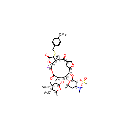 COc1ccc(CSC2C(=O)O[C@@]3(C)[C@H]2[C@@H](C)C(=O)[C@@H]2CO[C@](C)(C2)[C@H](O[C@@H]2O[C@H](C)C[C@H](N(C)C)[C@H]2OS(C)(=O)=O)[C@@H](C)[C@H](O[C@H]2C[C@@](C)(OC)[C@@H](OC(C)=O)[C@H](C)O2)[C@@H](C)C(=O)O[C@@H]3I)cc1